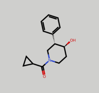 O=C(C1CC1)N1CC[C@H](O)[C@@H](c2ccccc2)C1